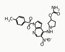 Cc1ccc(S(=O)(=O)n2ccc3c(NN4CCC(OC(N)=O)C4)c([N+](=O)[O-])cnc32)cc1